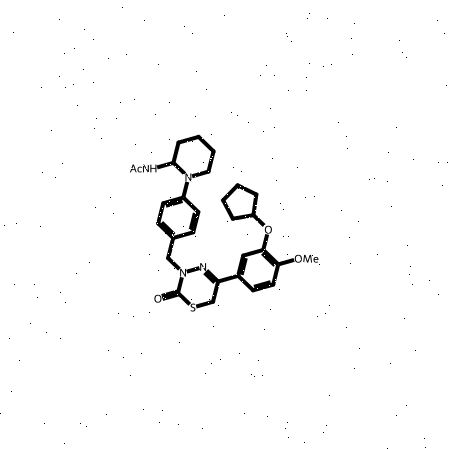 COc1ccc(C2=NN(Cc3ccc(N4CCCCC4NC(C)=O)cc3)C(=O)SC2)cc1OC1CCCC1